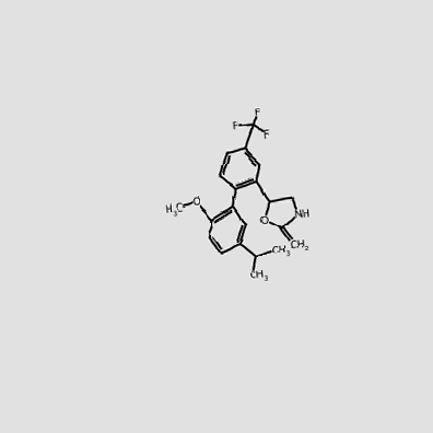 C=C1NCC(c2cc(C(F)(F)F)ccc2-c2cc(C(C)C)ccc2OC)O1